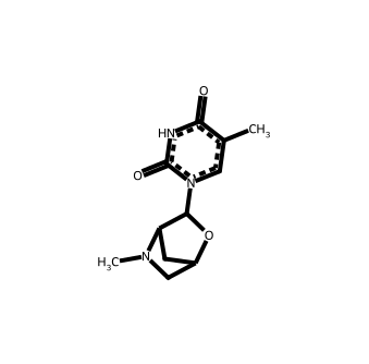 Cc1cn(C2OC3CC2N(C)C3)c(=O)[nH]c1=O